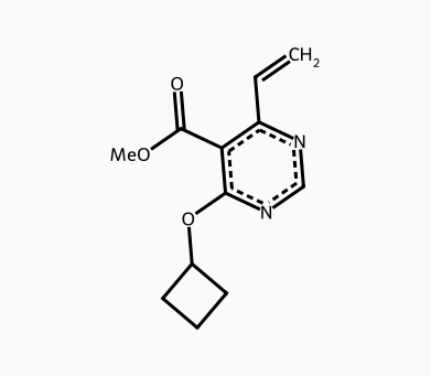 C=Cc1ncnc(OC2CCC2)c1C(=O)OC